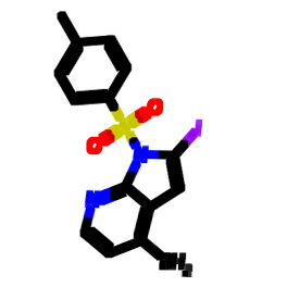 Bc1ccnc2c1cc(I)n2S(=O)(=O)c1ccc(C)cc1